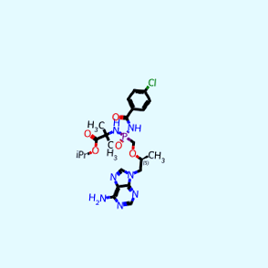 CC(C)OC(=O)C(C)(C)NP(=O)(CO[C@@H](C)Cn1cnc2c(N)ncnc21)NC(=O)c1ccc(Cl)cc1